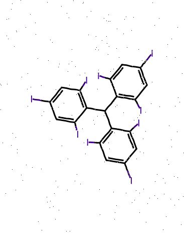 Ic1cc(I)c([C](c2c(I)cc(I)cc2I)c2c(I)cc(I)cc2I)c(I)c1